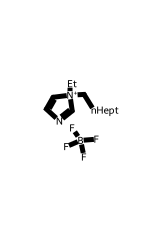 CCCCCCCC[N+]1(CC)C=CN=C1.F[B-](F)(F)F